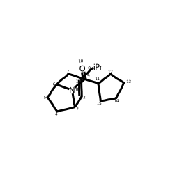 CC(C)C1=CC2CCC(C1)N2C(=O)C1CCCC1